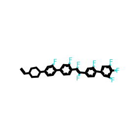 C=CC1CCC(c2ccc(-c3ccc(/C(F)=C(\F)c4ccc(-c5cc(F)c(F)c(F)c5)c(F)c4)c(F)c3)c(F)c2)CC1